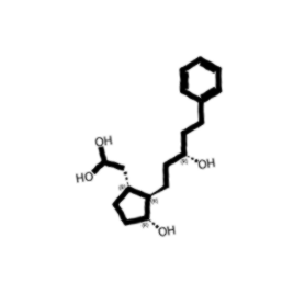 OC(O)C[C@H]1CC[C@@H](O)[C@@H]1CC[C@@H](O)CCc1ccccc1